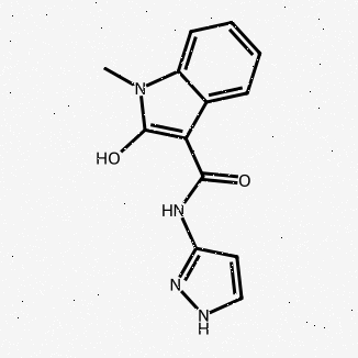 Cn1c(O)c(C(=O)Nc2cc[nH]n2)c2ccccc21